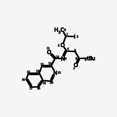 CC(I)OC(CC(=O)C(C)(C)C)=NC(=O)c1cc2ccccc2cn1